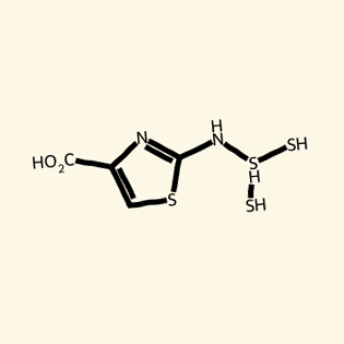 O=C(O)c1csc(N[SH](S)S)n1